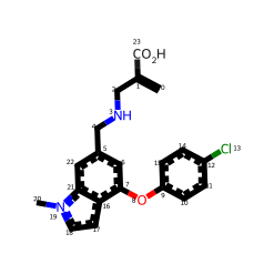 C=C(CNCc1cc(Oc2ccc(Cl)cc2)c2ccn(C)c2c1)C(=O)O